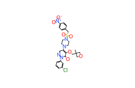 CC1(COc2c(N3CCN(S(=O)(=O)Cc4ccc([N+](=O)[O-])cc4)CC3)cnn(-c3cccc(Cl)c3)c2=O)COC1